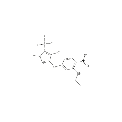 C[CH]Nc1cc(Oc2nn(C)c(C(F)(F)F)c2Cl)ccc1[N+](=O)[O-]